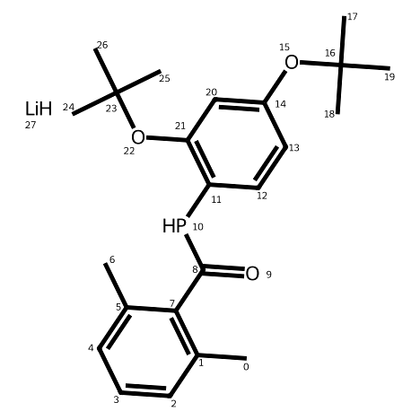 Cc1cccc(C)c1C(=O)Pc1ccc(OC(C)(C)C)cc1OC(C)(C)C.[LiH]